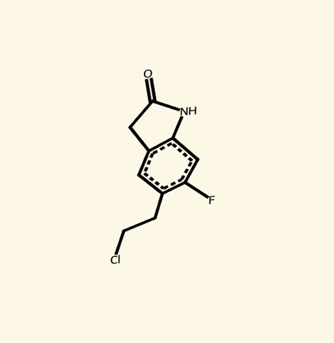 O=C1Cc2cc(CCCl)c(F)cc2N1